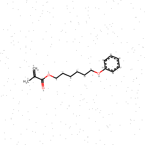 C=C(C)C(=O)OCCCCCCOc1ccccc1